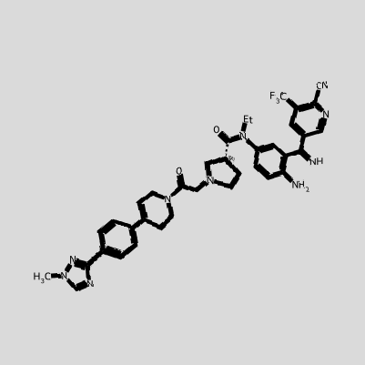 CCN(C(=O)[C@@H]1CCN(CC(=O)N2CC=C(c3ccc(-c4ncn(C)n4)cc3)CC2)C1)c1ccc(N)c(C(=N)c2cnc(C#N)c(C(F)(F)F)c2)c1